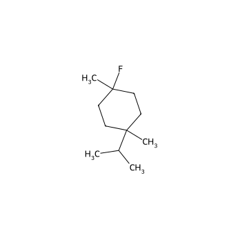 CC(C)C1(C)CCC(C)(F)CC1